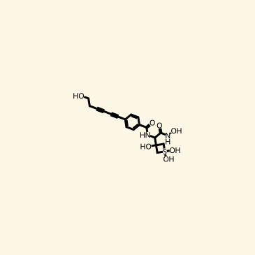 O=C(NC(C(=O)NO)C1(O)CS(O)(O)C1)c1ccc(C#CC#CCCO)cc1